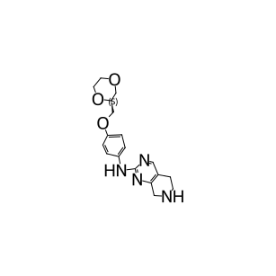 c1cc(OC[C@@H]2COCCO2)ccc1Nc1ncc2c(n1)CNCC2